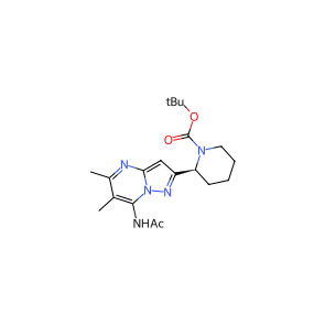 CC(=O)Nc1c(C)c(C)nc2cc([C@@H]3CCCCN3C(=O)OC(C)(C)C)nn12